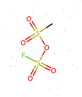 CS(=O)(=O)OS(=O)(=O)F